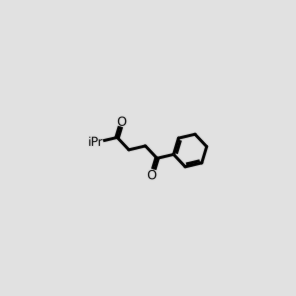 CC(C)C(=O)CCC(=O)C1=CCCC=C1